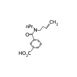 C=CCCN(CCC)C(=O)c1cccc(C(=O)O)c1